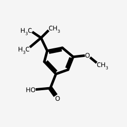 COc1cc(C(=O)O)cc(C(C)(C)C)c1